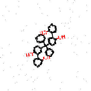 Oc1ccccc1-c1cc(C(c2ccccc2)(c2ccccc2)c2ccc(O)c(-c3ccccc3O)c2)ccc1O